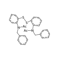 CC(=O)N(Cc1ccccc1)c1ccccc1SSc1ccccc1N(Cc1ccccc1)C(C)=O